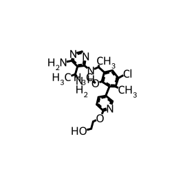 COc1c(C(C)Nc2ncnc(N)c2C(C)N)cc(Cl)c(C)c1-c1ccc(OCCO)nc1